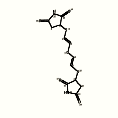 O=C1CC(SC=COC=CSC2CC(=O)NC2=O)C(=O)N1